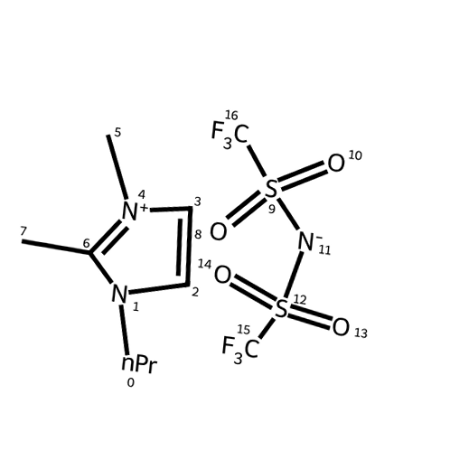 CCCn1cc[n+](C)c1C.O=S(=O)([N-]S(=O)(=O)C(F)(F)F)C(F)(F)F